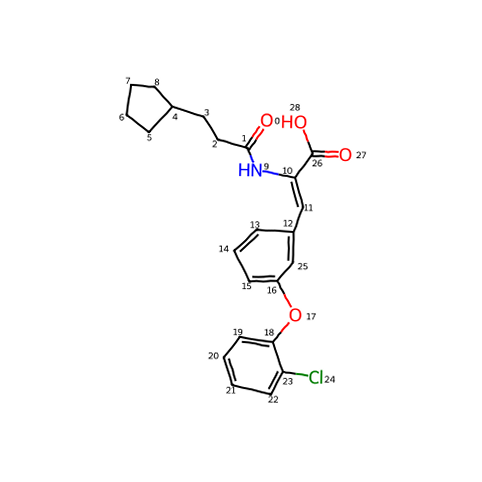 O=C(CCC1CCCC1)N/C(=C\c1cccc(Oc2ccccc2Cl)c1)C(=O)O